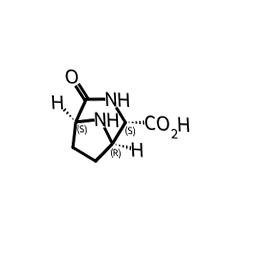 O=C1N[C@H](C(=O)O)[C@H]2CC[C@@H]1N2